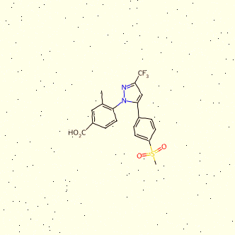 Cc1cc(C(=O)O)ccc1-n1nc(C(F)(F)F)cc1-c1ccc(S(C)(=O)=O)cc1